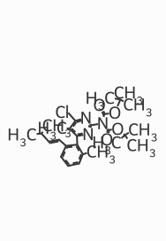 Cc1cccc(/C=C/C(C)C)c1-c1nc(N(C(=O)OC(C)(C)C)C(=O)OC(C)(C)C)nc(Cl)c1C